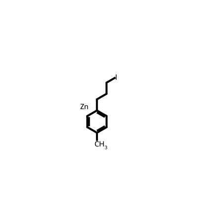 Cc1ccc(CCCI)cc1.[Zn]